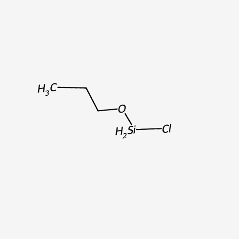 CCCO[SiH2]Cl